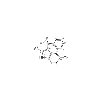 CC(=O)c1[nH]c2ccc(Cl)cc2c1C1(c2ccccc2)CC1